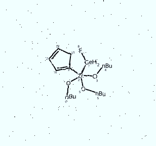 CCCC[O][Zr]([O]CCCC)([O]CCCC)([GeH2][F])[C]1=CC=CC1